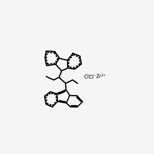 CCC(C1=c2ccccc2=C2C=CC=CC21)C(CC)C1c2ccccc2-c2ccccc21.[Cl-].[Cl-].[Zr+2]